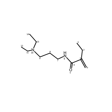 C=C(CC)C(=O)NCCCN(CC)CC